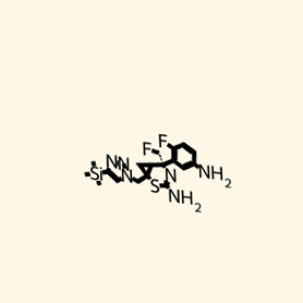 C[Si](C)(C)c1cn(CC23CC2[C@@](CF)(c2cc(N)ccc2F)N=C(N)S3)nn1